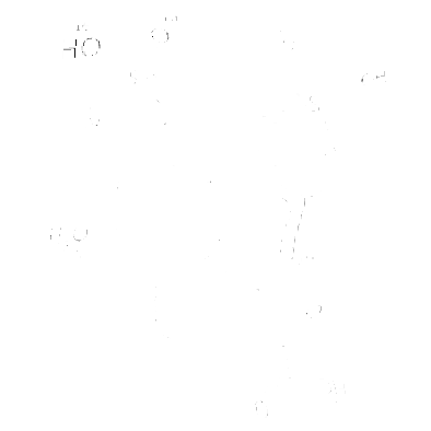 O.O=S(=O)(O)c1ccc2ccc3c(S(=O)(=O)O)cc(S(=O)(=O)O)c4ccc1c2c34